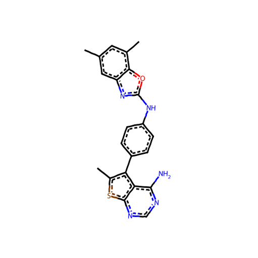 Cc1cc(C)c2oc(Nc3ccc(-c4c(C)sc5ncnc(N)c45)cc3)nc2c1